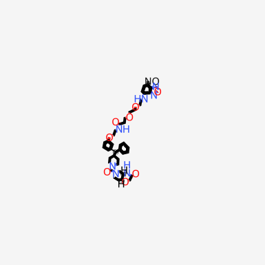 O=Nc1ccc(NCCOCCOCCC(=O)NCCOc2cccc([C@@H](c3ccccc3)C3CCN(C(=O)N4CC[C@@H]5OCC(=O)N[C@@H]5C4)CC3)c2)c2nonc12